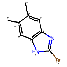 Cc1cc2nc(Br)[nH]c2cc1C